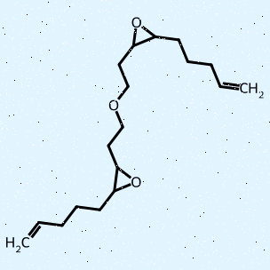 C=CCCCC1OC1CCOCCC1OC1CCCC=C